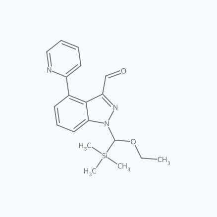 CCOC(n1nc(C=O)c2c(-c3ccccn3)cccc21)[Si](C)(C)C